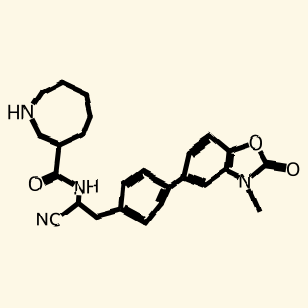 Cn1c(=O)oc2ccc(-c3ccc(CC(C#N)NC(=O)C4CCCCCNC4)cc3)cc21